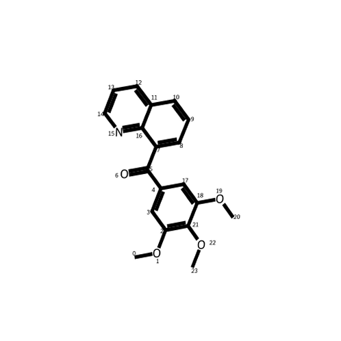 COc1cc(C(=O)c2cccc3cccnc23)cc(OC)c1OC